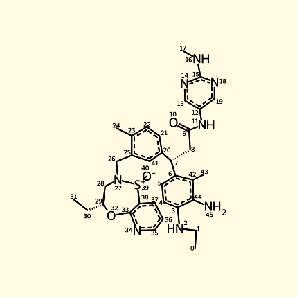 CCNc1ccc([C@@H](CC(=O)Nc2cnc(NC)nc2)c2ccc(C)c(CN3C[C@@H](CC)Oc4ncccc4[S+]3[O-])c2)c(C)c1N